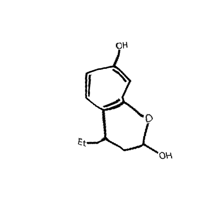 CCC1CC(O)Oc2cc(O)ccc21